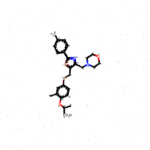 Cc1cc(SCc2sc(-c3ccc(C(F)(F)F)cc3)nc2CN2CCOCC2)ccc1OC(C)C(=O)O